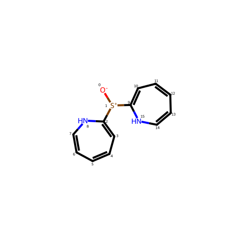 [O-][S+](C1=CC=CC=CN1)C1=CC=CC=CN1